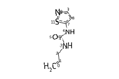 C=CCNC(=O)Nc1ccns1